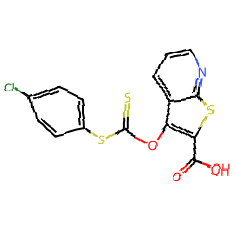 O=C(O)c1sc2ncccc2c1OC(=S)Sc1ccc(Cl)cc1